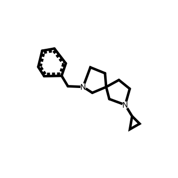 c1ccc(CN2CCC3(CCN(C4CC4)C3)C2)cc1